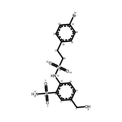 NS(=O)(=O)c1cc(CO)ccc1NS(=O)(=O)CCc1ccc(Br)cc1